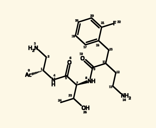 CC(=O)[C@H](CN)NC(=O)[C@@H](NC(=O)C(CCN)Cc1ccccc1F)C(C)O